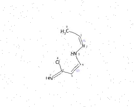 C/C=N\N/C=C\C(=N)Cl